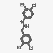 CCc1cc(CN[N]c2ccc(Cl)c(CC)c2)ccc1Cl